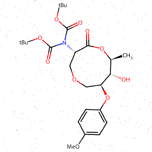 COc1ccc(O[C@H]2COC[C@H](N(C(=O)OC(C)(C)C)C(=O)OC(C)(C)C)C(=O)O[C@@H](C)[C@@H]2O)cc1